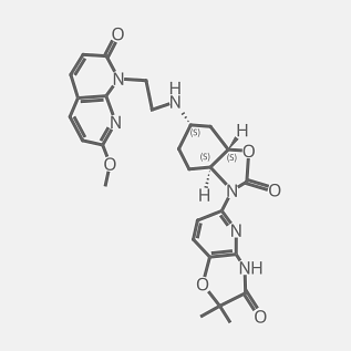 COc1ccc2ccc(=O)n(CCN[C@H]3CC[C@H]4[C@H](C3)OC(=O)N4c3ccc4c(n3)NC(=O)C(C)(C)O4)c2n1